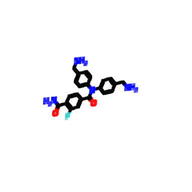 NCc1ccc(N(C(=O)c2ccc(C(N)=O)c(F)c2)c2ccc(CN)cc2)cc1